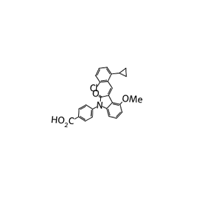 COc1cccc2c1/C(=C/c1c(Cl)cccc1C1CC1)C(=O)N2c1ccc(C(=O)O)cc1